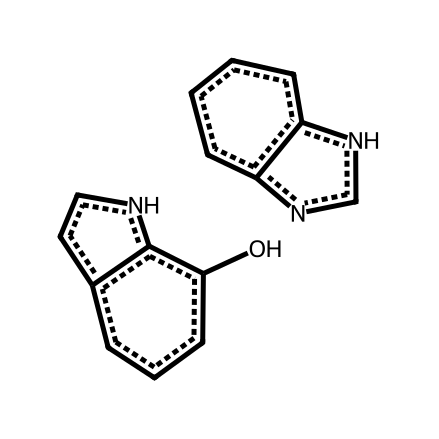 Oc1cccc2cc[nH]c12.c1ccc2[nH]cnc2c1